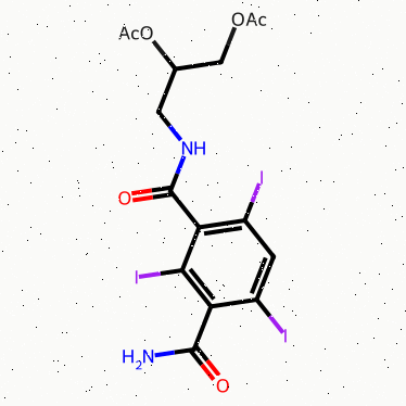 CC(=O)OCC(CNC(=O)c1c(I)cc(I)c(C(N)=O)c1I)OC(C)=O